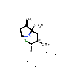 C=C1CCNC1(C[C@@H](OC)C(Cl)CC)C(=O)O